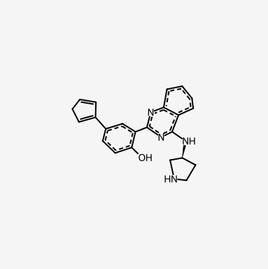 Oc1ccc(C2=CCC=C2)cc1-c1nc(N[C@H]2CCNC2)c2ccccc2n1